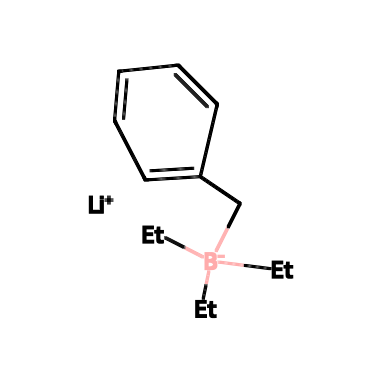 CC[B-](CC)(CC)Cc1ccccc1.[Li+]